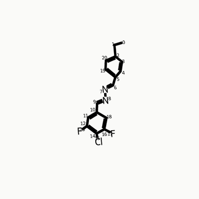 CCc1ccc(/C=N/N=C/c2cc(F)c(Cl)c(F)c2)cc1